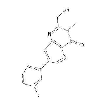 CC(C)Cc1nc2cc(-c3cccc(F)c3)ccc2c(=O)n1C